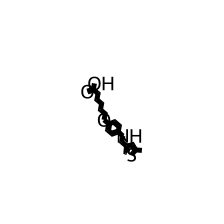 Cc1cc(CNc2ccc(OCCCCCC(=O)O)cc2)cs1